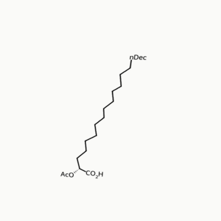 CCCCCCCCCCCCCCCCCCCCCC[C@@H](OC(C)=O)C(=O)O